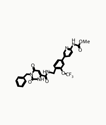 COC(=O)Nc1ccc(-c2ccc(CNC(=O)c3cc(=O)n(Cc4ccccc4)c(=O)[nH]3)c(OC(F)(F)F)c2)cn1